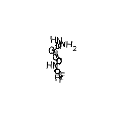 N=C(N)N1CC(C(=O)N2CCc3c(cccc3Nc3ccc(C(F)(F)F)cc3)C2)C1